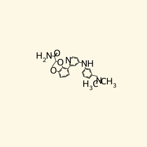 CN(C)Cc1cccc(Nc2ccnc(-c3cccc4c3OC(C(N)=O)CO4)c2)c1